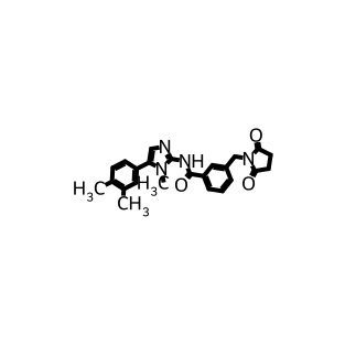 Cc1ccc(-c2cnc(NC(=O)c3cccc(CN4C(=O)CCC4=O)c3)n2C)cc1C